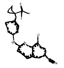 N#Cc1cc(Cl)c2nc(Nc3ccc(C4(C(F)(F)F)CC4)cc3)ccc2c1